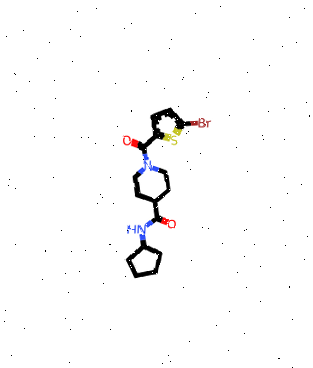 O=C(NC1CCCC1)C1CCN(C(=O)c2ccc(Br)s2)CC1